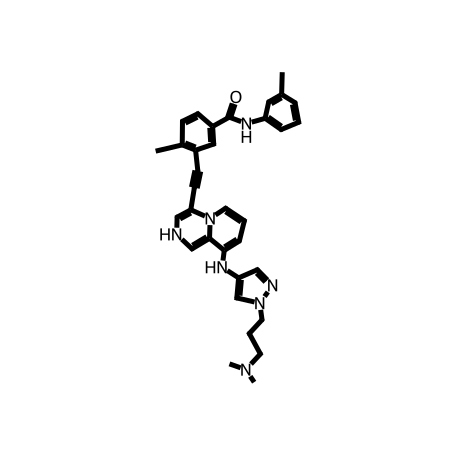 Cc1cccc(NC(=O)c2ccc(C)c(C#CC3=CNC=C4C(Nc5cnn(CCCN(C)C)c5)=CC=CN34)c2)c1